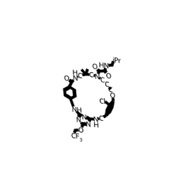 CC(C)CNC(=O)C(=O)N1CCCOc2ccc(cc2Cl)CNc2nc(nc(OCC(F)(F)F)n2)Nc2ccc(cc2)C(=O)NCC(C)(C)C1